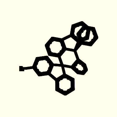 Brc1ccc2c(c1)-c1ccccc1C21c2ccccc2C2(c3ccccc3)c3ccccc3-c3cccc1c32